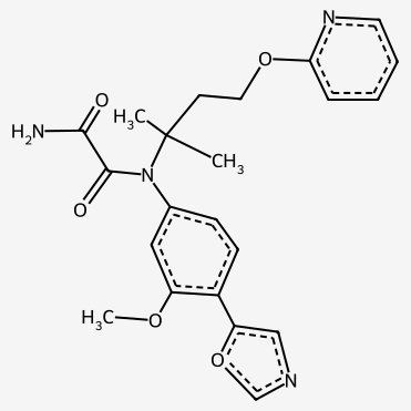 COc1cc(N(C(=O)C(N)=O)C(C)(C)CCOc2ccccn2)ccc1-c1cnco1